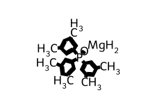 Cc1cc(C)cc(P(=O)(c2cc(C)cc(C)c2)c2cc(C)cc(C)c2)c1.[MgH2]